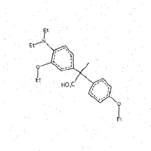 CCOc1ccc(C(C)(C(=O)O)c2ccc(N(CC)CC)c(OCC)c2)cc1